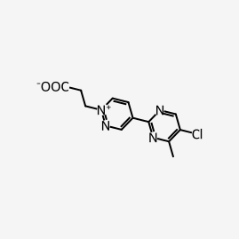 Cc1nc(-c2cc[n+](CCC(=O)[O-])nc2)ncc1Cl